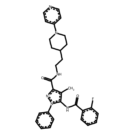 Cc1c(C(=O)NCCC2CCN(c3ccncc3)CC2)nn(-c2ccccc2)c1NC(=O)c1ccccc1F